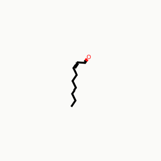 CCCCCC/C=[C]\C=O